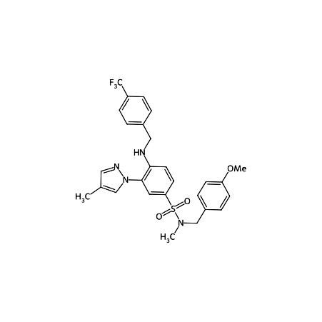 COc1ccc(CN(C)S(=O)(=O)c2ccc(NCc3ccc(C(F)(F)F)cc3)c(-n3cc(C)cn3)c2)cc1